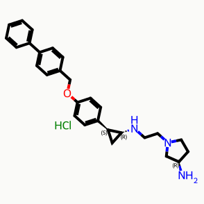 Cl.N[C@@H]1CCN(CCN[C@@H]2C[C@H]2c2ccc(OCc3ccc(-c4ccccc4)cc3)cc2)C1